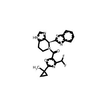 CC1(c2nc(C(F)F)c(C(=O)N3CCc4[nH]cnc4[C@H]3c3nc4ccccc4s3)o2)CC1